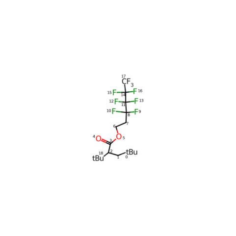 CC(C)(C)CC(C(=O)OCCC(F)(F)C(F)(F)C(F)(F)C(F)(F)F)C(C)(C)C